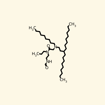 CCCCCCCCCC(CCCCCCCCC)CCN(CCCCCCCCC)CC(=O)N(CCC)CCNC=O